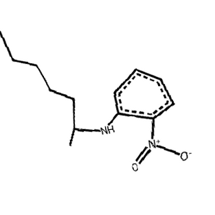 CCCCCC(C)Nc1ccccc1[N+](=O)[O-]